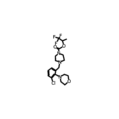 CC(OC(=O)N1CCN(Cc2cccc(Cl)c2N2CCOCC2)CC1)C(F)(F)F